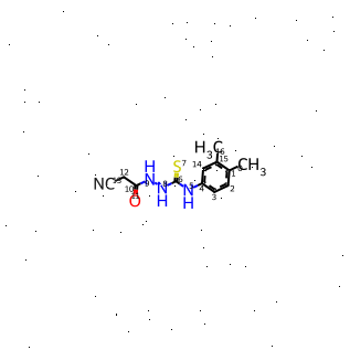 Cc1ccc(NC(=S)NNC(=O)CC#N)cc1C